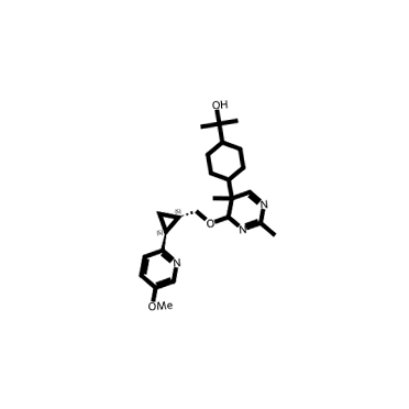 COc1ccc([C@H]2C[C@@H]2COC2N=C(C)N=CC2(C)C2CCC(C(C)(C)O)CC2)nc1